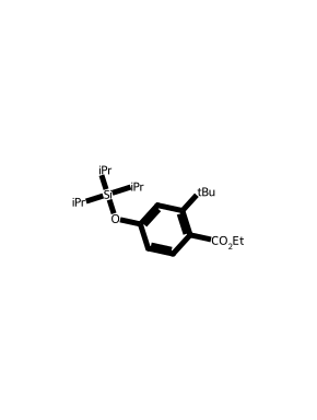 CCOC(=O)c1ccc(O[Si](C(C)C)(C(C)C)C(C)C)cc1C(C)(C)C